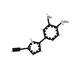 C#Cc1ccc(-c2ccc(OC)c(C(C)(C)C)c2)s1